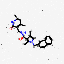 Cc1cc(C)c(CNC(=O)c2c(C)cn(Cc3ccc4ccccc4c3)c2C)c(=O)[nH]1